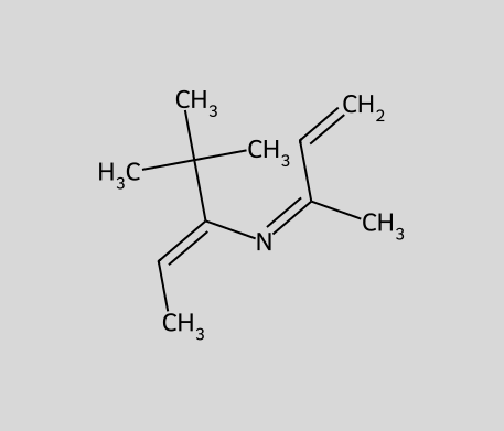 C=C/C(C)=N\C(=C/C)C(C)(C)C